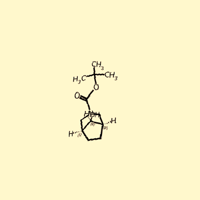 CC(C)(C)OC(=O)N1C[C@H]2CC[C@@H](C1)[C@H]2O